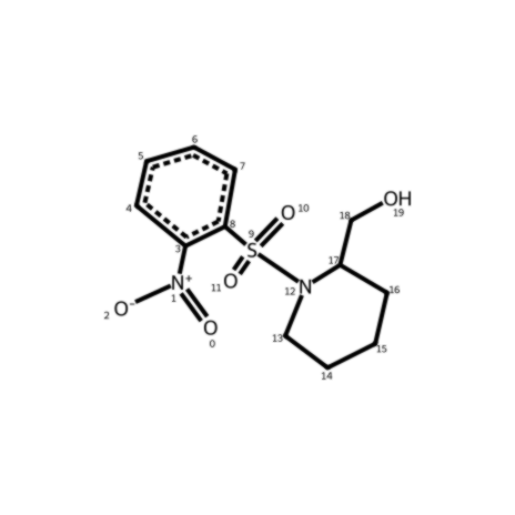 O=[N+]([O-])c1ccccc1S(=O)(=O)N1CCCCC1CO